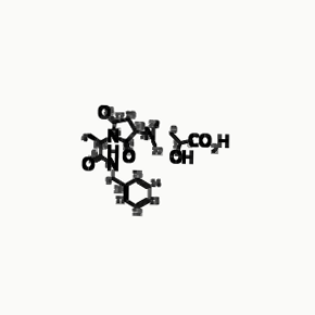 CC(O)C(=O)O.C[C@H](C(=O)NCc1ccccc1)N1C(=O)CC(N(C)C)C1=O